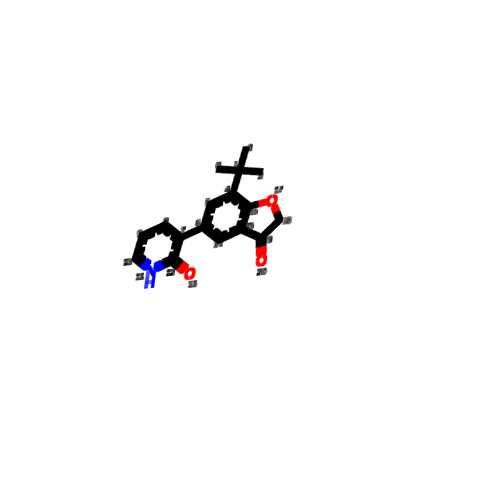 CC(C)(C)c1cc(-c2ccc[nH]c2=O)cc2c1OCC2=O